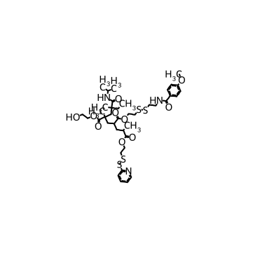 CCC(C)(CC(C)(CC(CC(C)C(=O)OCCSSc1ccccn1)C(=O)OCCSSCCNC(=O)c1ccc(OC)cc1)C(=O)OCCO)C(=O)NC(C)C